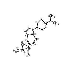 CC(C)N1CCC(n2ccc3cc(NC(C)(C)C)cnc32)CC1